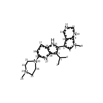 CC(C)c1c(-c2cn(C)c3ncncc23)[nH]c2ccc(N3CCN(C)CC3)nc12